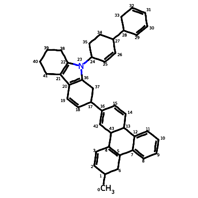 CC1C=CC2=C(C1)c1ccccc1C1C=CC(C3C=Cc4c5c(n(C6C=CC(C7C=CC=CC7)CC6)c4C3)CCCC5)=CC21